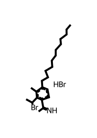 Br.CCCCCCCCCCCCc1ccc(C(C)=N)c(C(C)Br)c1C